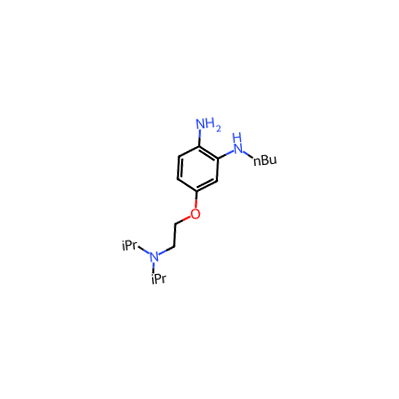 CCCCNc1cc(OCCN(C(C)C)C(C)C)ccc1N